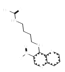 O=C(O)NCCCCNc1c([N+](=O)[O-])cnc2cccnc12